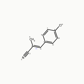 C/C(C#N)=C\c1ccc(Cl)cc1